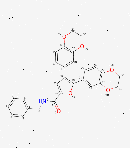 O=C(NCc1ccccc1)c1cc(-c2ccc3c(c2)OCCO3)c(-c2ccc3c(c2)OCCO3)o1